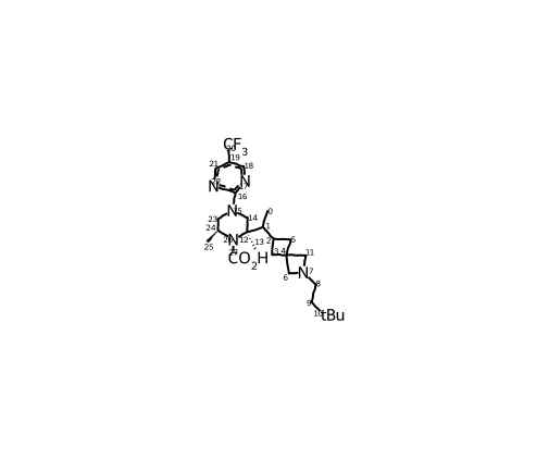 CC(C1CC2(C1)CN(CCC(C)(C)C)C2)[C@]1(C)CN(c2ncc(C(F)(F)F)cn2)C[C@H](C)N1C(=O)O